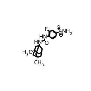 C[C@]12CC3CC(NC(=O)Nc4ccc(S(N)(=O)=O)cc4F)(C1)C[C@@](C)(C3)C2